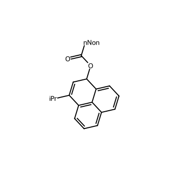 CCCCCCCCCC(=O)OC1C=C(C(C)C)c2cccc3cccc1c23